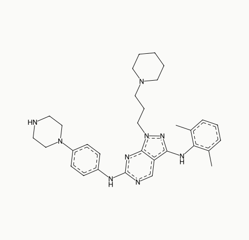 Cc1cccc(C)c1Nc1nn(CCCN2CCCCC2)c2nc(Nc3ccc(N4CCNCC4)cc3)ncc12